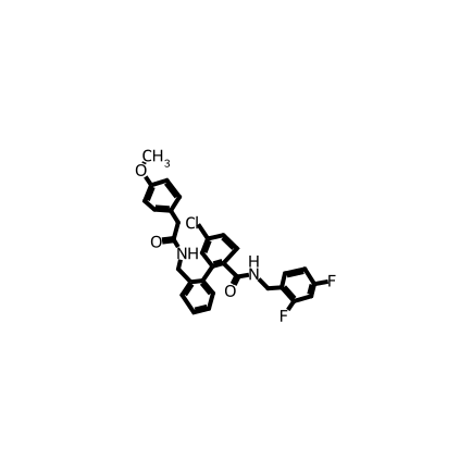 COc1ccc(CC(=O)NCc2ccccc2-c2cc(Cl)ccc2C(=O)NCc2ccc(F)cc2F)cc1